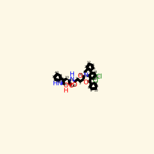 O=C(CCC1OC(c2ccccc2Cl)c2cc(Cl)ccc2N(Cc2ccccc2)C1=O)N[C@H](Cc1c[nH]c2ccccc12)C(=O)O